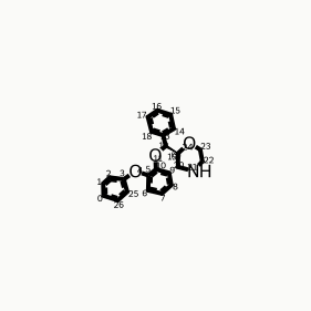 c1ccc(Oc2ccccc2OC(c2ccccc2)[C@@H]2CNCCO2)cc1